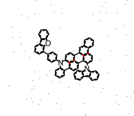 c1ccc(N(c2ccc(-c3ccc4ccccc4c3)cc2)c2ccc(-c3cccc4c3oc3ccccc34)cc2)c(-c2ccc(-c3ccccc3-n3c4ccccc4c4ccccc43)cc2)c1